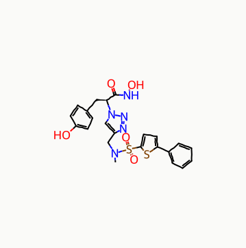 CN(Cc1cn([C@@H](Cc2ccc(O)cc2)C(=O)NO)nn1)S(=O)(=O)c1ccc(-c2ccccc2)s1